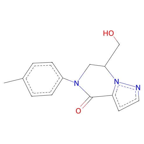 Cc1ccc(N2CC(CO)n3nccc3C2=O)cc1